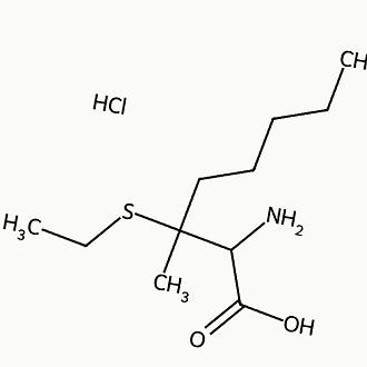 CCCCCC(C)(SCC)C(N)C(=O)O.Cl